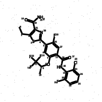 CCc1sc(-c2cc(O[C@@H](C)C(F)(F)F)c(C(=O)Nc3c(F)cccc3Cl)cc2F)nc1C(N)=O